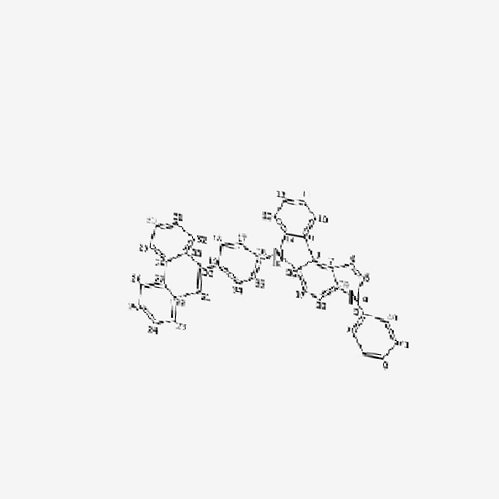 c1ccc(-n2ccc3c4c5ccccc5n(-c5ccc(-c6cc7ccccc7c7ccccc67)cc5)c4ccc32)cc1